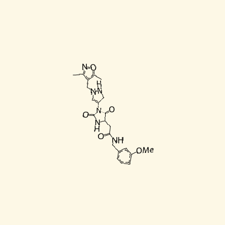 COc1cccc(CNC(=O)CC2NC(=O)N(C3=CN(Cc4c(C)noc4C)NC3)C2=O)c1